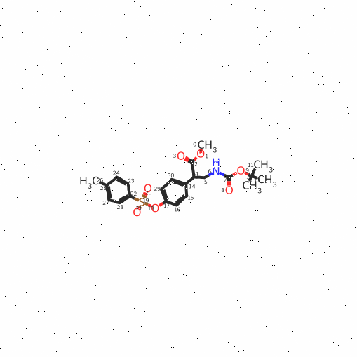 COC(=O)C(CNC(=O)OC(C)(C)C)c1ccc(OS(=O)(=O)c2ccc(C)cc2)cc1